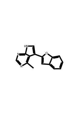 Cc1ncnc2[nH]cc(-c3cc4ccccc4o3)c12